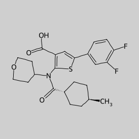 C[C@H]1CC[C@H](C(=O)N(c2sc(-c3ccc(F)c(F)c3)cc2C(=O)O)C2CCOCC2)CC1